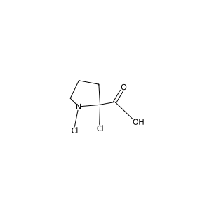 O=C(O)C1(Cl)CCCN1Cl